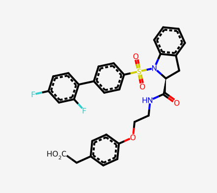 O=C(O)Cc1ccc(OCCNC(=O)[C@@H]2Cc3ccccc3N2S(=O)(=O)c2ccc(-c3ccc(F)cc3F)cc2)cc1